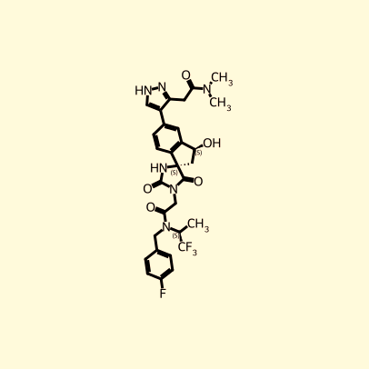 C[C@H](N(Cc1ccc(F)cc1)C(=O)CN1C(=O)N[C@]2(C[C@H](O)c3cc(-c4c[nH]nc4CC(=O)N(C)C)ccc32)C1=O)C(F)(F)F